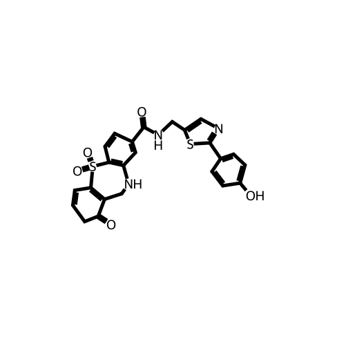 O=C1CC=CC2=C1CNc1cc(C(=O)NCc3cnc(-c4ccc(O)cc4)s3)ccc1S2(=O)=O